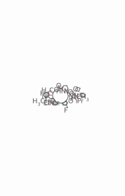 CCn1c(-c2cccnc2[C@H](C)OC)c2c3cc(ccc31)-c1cc(CF)cc(c1)C[C@H](NC(=O)C(C(C)C)N(C)C(=O)[C@@H]1OCC[C@@H]1c1ccccc1)C(=O)N1CCC[C@H](N1)C(=O)OCC(C)(C)C2